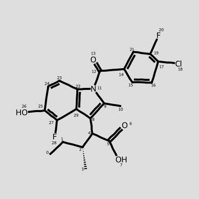 CC[C@@H](C)C(C(=O)O)c1c(C)n(C(=O)c2ccc(Cl)c(F)c2)c2ccc(O)c(F)c12